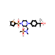 CN(C[C@H]1CN(S(=O)(=O)c2cccs2)CCN1c1ccc([C@](C)(O)C(F)(F)F)cc1)S(C)(=O)=O